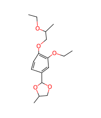 CCOc1cc(C2OCC(C)O2)ccc1OCC(C)OCC